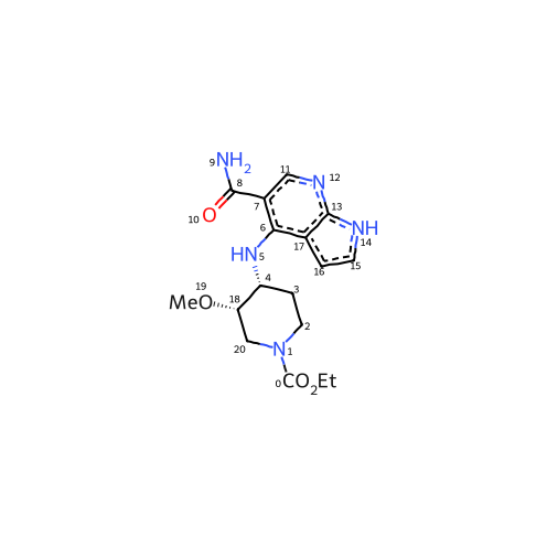 CCOC(=O)N1CC[C@@H](Nc2c(C(N)=O)cnc3[nH]ccc23)[C@@H](OC)C1